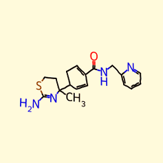 CC1(C2C=CC(C(=O)NCc3ccccn3)=CC2)CCSC(N)=N1